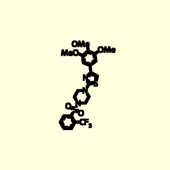 COc1cc(-c2csc(N3CCN(S(=O)(=O)c4ccccc4C(F)(F)F)CC3)n2)cc(OC)c1OC